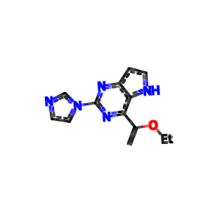 C=C(OCC)c1nc(-n2ccnc2)nc2cc[nH]c12